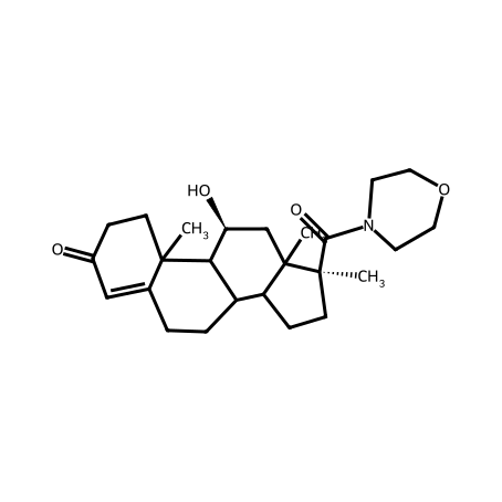 CC12CCC(=O)C=C1CCC1C2[C@@H](O)CC2(C)C1CC[C@]2(C)C(=O)N1CCOCC1